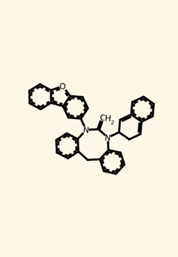 C=C1N(c2ccc3oc4ccccc4c3c2)c2ccccc2Cc2ccccc2N1C1C=c2ccccc2=CC1